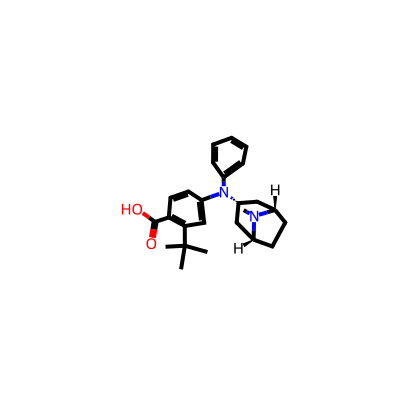 CN1[C@@H]2CC[C@H]1C[C@@H](N(c1ccccc1)c1ccc(C(=O)O)c(C(C)(C)C)c1)C2